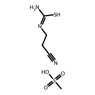 CS(=O)(=O)O.N#CCCN=C(N)S